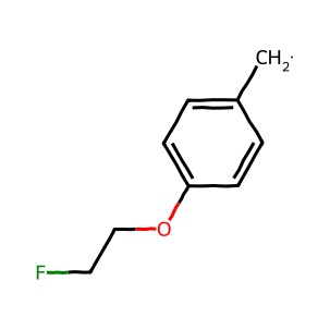 [CH2]c1ccc(OCCF)cc1